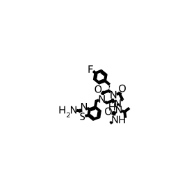 CNC(=O)N(C(C)C)N1CC(=O)N2[C@@H](Cc3ccc(F)cc3)C(=O)N(Cc3cccc4sc(N)nc34)C[C@@H]21